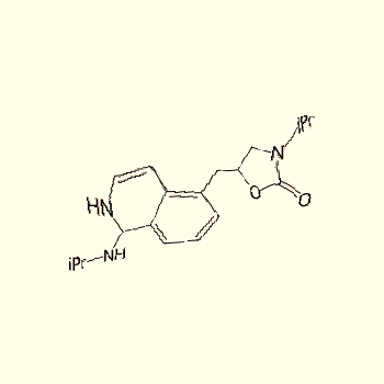 CC(C)NC1NC=Cc2c(CC3CN(C(C)C)C(=O)O3)cccc21